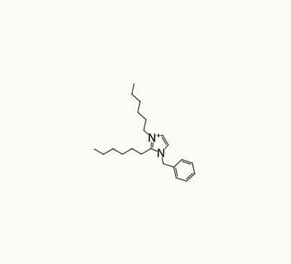 CCCCCCc1n(Cc2ccccc2)cc[n+]1CCCCCC